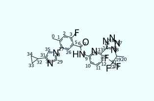 Cc1cc(F)c(C(=O)Nc2cccc(-c3nnnn3C(C)C(F)(F)F)n2)cc1-n1cnc(C2CC2)c1